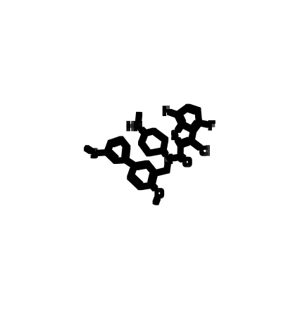 CNC1CCC(N(Cc2cc(-c3cccc(SC)c3)ccc2OC)C(=O)c2sc3c(F)ccc(F)c3c2Cl)CC1